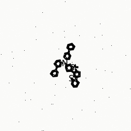 C[Si]1(C)c2cc(N(c3ccc(-c4ccccc4)cc3)c3cccc(-c4ccccc4)c3)ccc2-c2c1ccc1c2sc2ccccc21